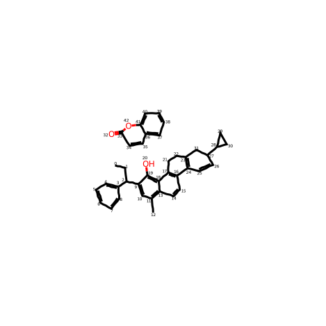 CCC(c1ccccc1)c1cc(C)c2ccc3c(c2c1O)CCC1=C3C=CC(C2CC2)C1.O=c1ccc2ccccc2o1